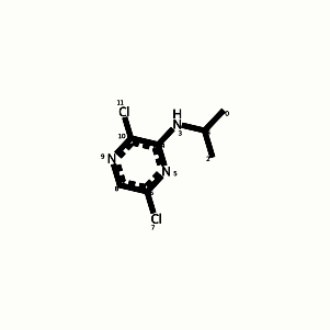 CC(C)Nc1nc(Cl)cnc1Cl